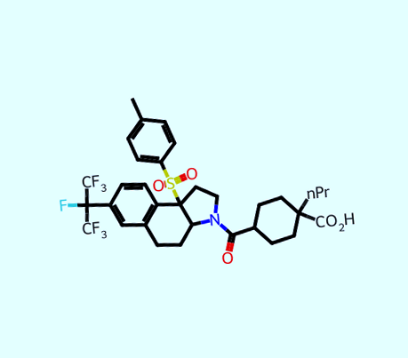 CCCC1(C(=O)O)CCC(C(=O)N2CCC3(S(=O)(=O)c4ccc(C)cc4)c4ccc(C(F)(C(F)(F)F)C(F)(F)F)cc4CCC23)CC1